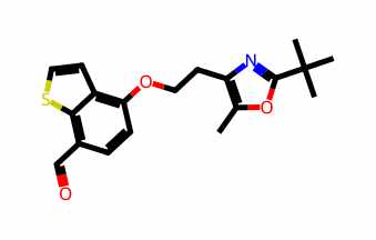 Cc1oc(C(C)(C)C)nc1CCOc1ccc(C=O)c2sccc12